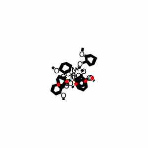 COc1ccccc1OP(N=P(NP(Oc1ccccc1OC)Oc1ccccc1OC)(Oc1ccccc1OC)Oc1ccccc1OC)Oc1ccccc1OC